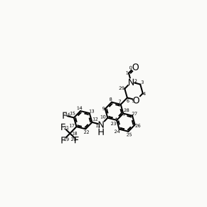 O=CN1CCOC(c2ccc(Nc3ccc(F)c(C(F)(F)F)c3)c3ccccc23)C1